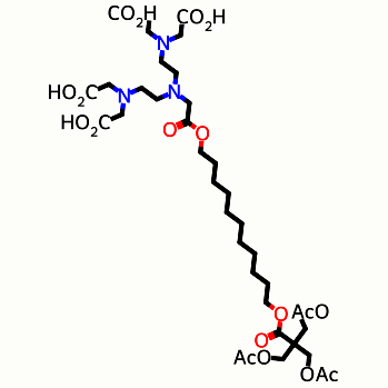 CC(=O)OCC(COC(C)=O)(COC(C)=O)C(=O)OCCCCCCCCCCCOC(=O)CN(CCN(CC(=O)O)CC(=O)O)CCN(CC(=O)O)CC(=O)O